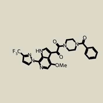 COc1cnc(-n2ccc(C(F)(F)F)n2)c2[nH]cc(C(=O)C(=O)N3CCN(C(=O)c4ccccc4)CC3)c12